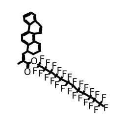 CC(=CC1CC=Cc2c1ccc1c2ccc2ccccc21)C(=O)OC(F)(F)C(F)(F)C(F)(F)C(F)(F)C(F)(F)C(F)(F)C(F)(F)C(F)(F)C(F)(F)C(F)(F)C(F)(F)C(F)(F)F